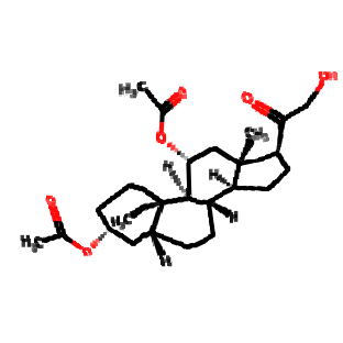 CC(=O)O[C@@H]1CC[C@@]2(C)[C@H](CC[C@@H]3[C@@H]2[C@H](OC(C)=O)C[C@]2(C)[C@@H](C(=O)CO)CC[C@@H]32)C1